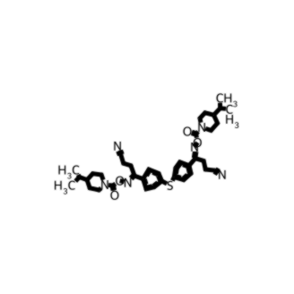 CC(C)C1CCN(C(=O)O/N=C(\CCC#N)c2ccc(Sc3ccc(/C(CCC#N)=N/OC(=O)N4CCC(C(C)C)CC4)cc3)cc2)CC1